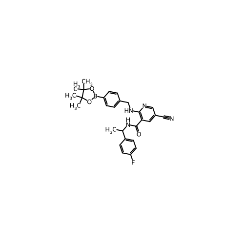 CC(NC(=O)c1cc(C#N)cnc1NCc1ccc(B2OC(C)(C)C(C)(C)O2)cc1)c1ccc(F)cc1